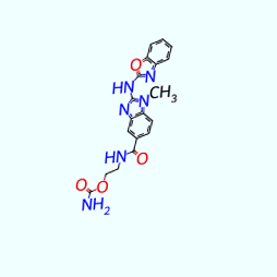 Cn1c(Nc2nc3ccccc3o2)nc2cc(C(=O)NCCOC(N)=O)ccc21